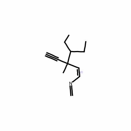 C#CC(C)(/C=C\N=C)C(CC)CC